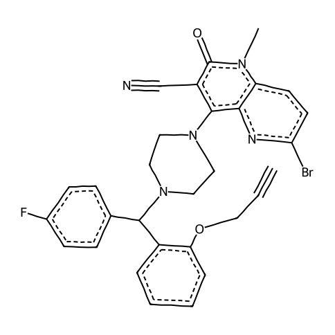 C#CCOc1ccccc1C(c1ccc(F)cc1)N1CCN(c2c(C#N)c(=O)n(C)c3ccc(Br)nc23)CC1